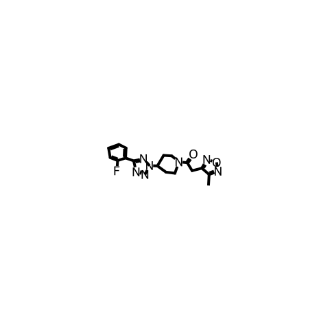 Cc1nonc1CC(=O)N1CCC(n2nnc(-c3ccccc3F)n2)CC1